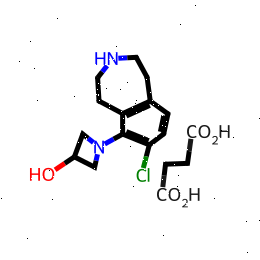 O=C(O)CCC(=O)O.OC1CN(c2c(Cl)ccc3c2CCNCC3)C1